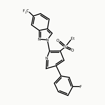 CCS(=O)(=O)c1cc(-c2cccc(F)c2)cnc1-n1cc2ccc(C(F)(F)F)cc2n1